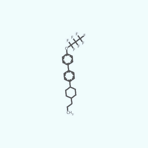 CCCC1CCC(c2ccc(-c3ccc(OC(F)(F)C(F)(F)C(F)(F)F)cc3)cc2)CC1